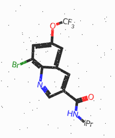 CC(C)NC(=O)c1cnc2c(Br)cc(OC(F)(F)F)cc2c1